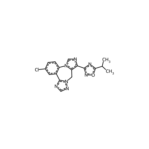 CC(C)c1nc(-c2ncn3c2Cn2ncnc2-c2cc(Cl)ccc2-3)no1